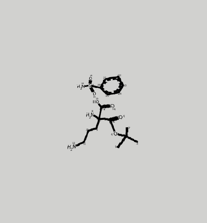 CC(C)(C)OC(=O)C(N)(CCCN)C(=O)O.NS(=O)(=O)c1ccccc1